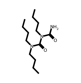 CCCCN(CCCC)C(=O)N(CCCC)C(N)=O